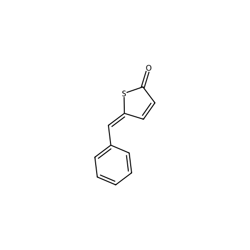 O=C1C=C/C(=C\c2ccccc2)S1